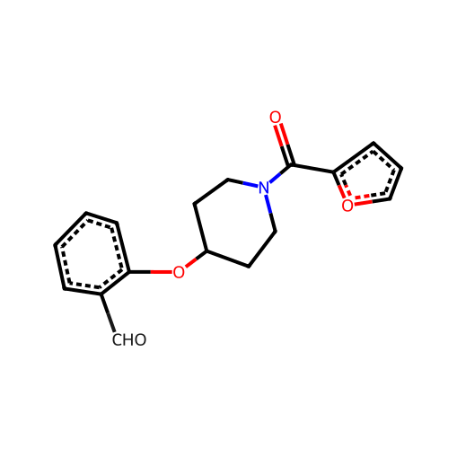 O=Cc1ccccc1OC1CCN(C(=O)c2ccco2)CC1